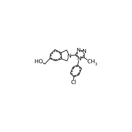 Cc1nnc(N2Cc3ccc(CO)cc3C2)n1-c1ccc(Cl)cc1